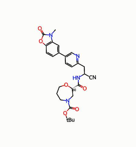 Cn1c(=O)oc2ccc(-c3ccc(CC(C#N)NC(=O)[C@@H]4CN(C(=O)OC(C)(C)C)CCCO4)nc3)cc21